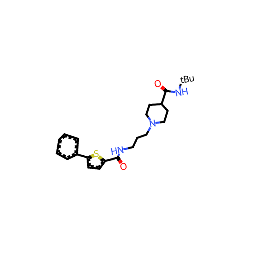 CC(C)(C)NC(=O)C1CCN(CCCNC(=O)c2ccc(-c3ccccc3)s2)CC1